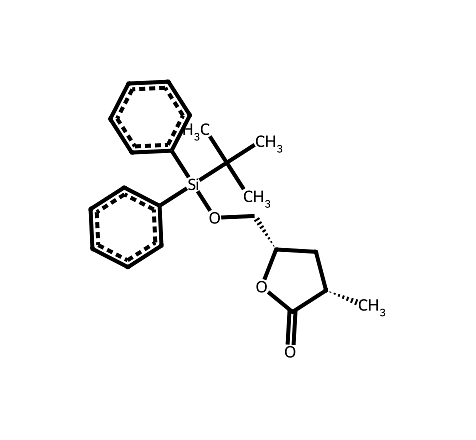 C[C@H]1C[C@@H](CO[Si](c2ccccc2)(c2ccccc2)C(C)(C)C)OC1=O